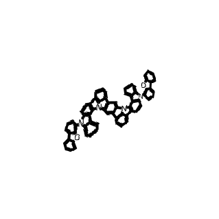 c1ccc2c(c1)oc1c(-n3c4ccccc4c4c3ccc3c5cccc6c7cc8c(cc7n(c65)c34)c3cccc4c5ccc6c(c7ccccc7n6-c6cccc7c6oc6ccccc67)c5n8c34)cccc12